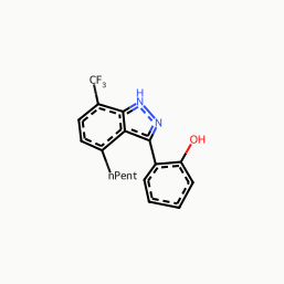 CCCCCc1ccc(C(F)(F)F)c2[nH]nc(-c3ccccc3O)c12